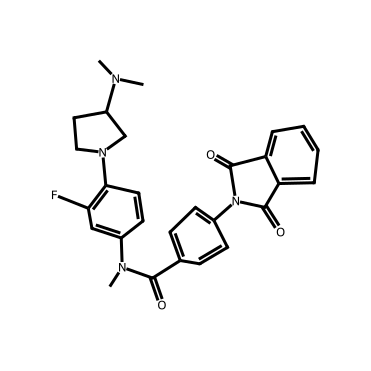 CN(C(=O)c1ccc(N2C(=O)c3ccccc3C2=O)cc1)c1ccc(N2CCC(N(C)C)C2)c(F)c1